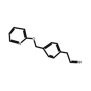 N=CCc1ccc(COc2ccccn2)cc1